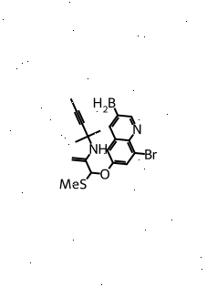 Bc1cnc2c(Br)cc(OC(SC)C(=C)NC(C)(C)C#CC)cc2c1